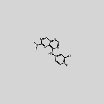 CN(C)c1ncc2ncnc(Nc3ccc(F)c(Cl)c3)c2n1